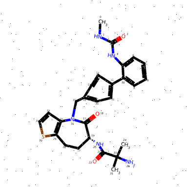 CNC(=O)Nc1ccccc1-c1ccc(CN2C(=O)[C@H](NC(=O)C(C)(C)N)CCc3sccc32)cc1